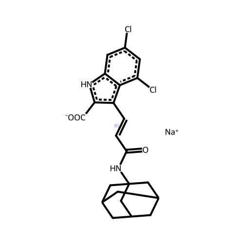 O=C(/C=C/c1c(C(=O)[O-])[nH]c2cc(Cl)cc(Cl)c12)NC12CC3CC(CC(C3)C1)C2.[Na+]